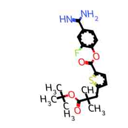 CC(C)(C)OC(=O)C(C)(C)Cc1ccc(C(=O)Oc2ccc(C(=N)N)cc2F)s1